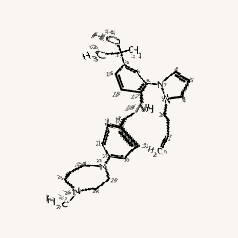 C=CCN1CC=CN1c1cc(C(C)(C)O)ccc1Nc1ccc(N2CCN(C)CC2)cc1